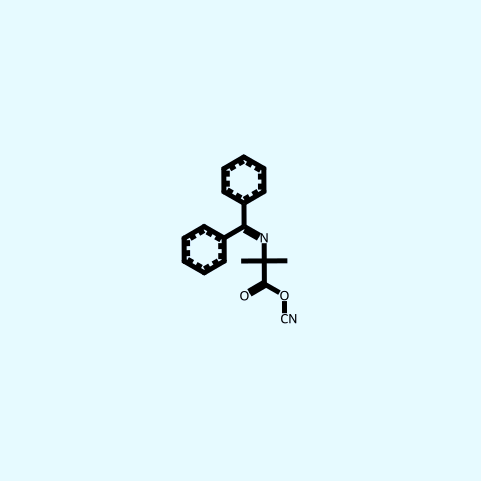 CC(C)(N=C(c1ccccc1)c1ccccc1)C(=O)OC#N